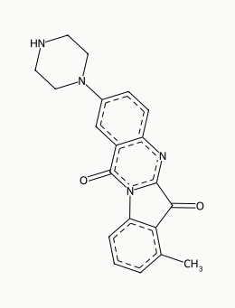 Cc1cccc2c1C(=O)c1nc3ccc(N4CCNCC4)cc3c(=O)n1-2